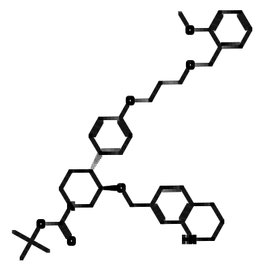 COc1ccccc1COCCCOc1ccc([C@H]2CCN(C(=O)OC(C)(C)C)C[C@@H]2OCc2ccc3c(c2)NCCC3)cc1